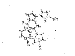 CC(C)c1nnc(-c2cnn3ccc(N4CC[C@H]5C[C@]54c4cc(F)ccc4F)nc23)o1